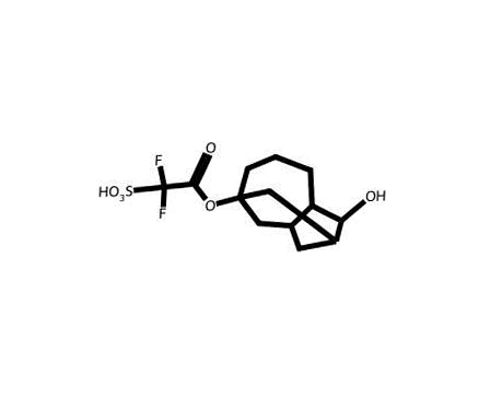 O=C(OC12CCCC3C(CC(C1)C3O)C2)C(F)(F)S(=O)(=O)O